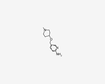 CN1CCC(OCc2ccc(N)nc2)CC1